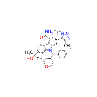 Cc1nnn(C)c1-c1cc(C(N)=O)c2c3ccc(C(C)(C)O)cc3n(C(c3ccccc3)C3CCOCC3)c2c1